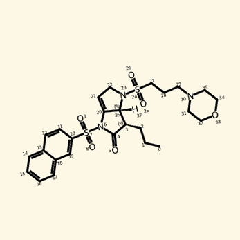 CCC[C@H]1C(=O)N(S(=O)(=O)c2ccc3ccccc3c2)C2=CCN(S(=O)(=O)CCCN3CCOCC3)[C@@H]21